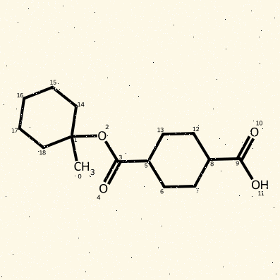 CC1(OC(=O)C2CCC(C(=O)O)CC2)CCCCC1